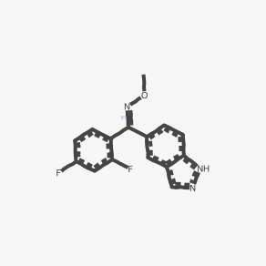 CO/N=C(\c1ccc2[nH]ncc2c1)c1ccc(F)cc1F